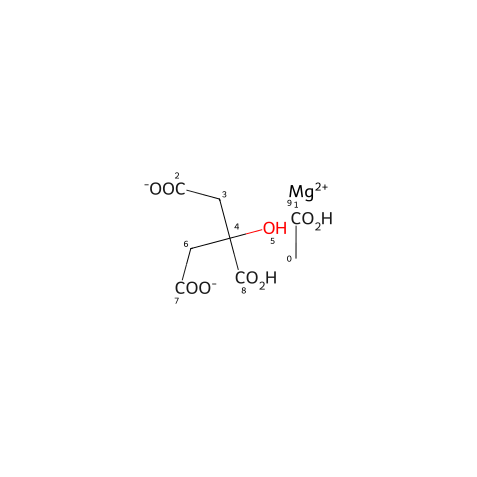 CC(=O)O.O=C([O-])CC(O)(CC(=O)[O-])C(=O)O.[Mg+2]